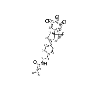 O=C(NCCc1ccc(N2CCC(c3cc(Cl)c(Cl)c(Cl)c3)(C(F)(F)F)C2)cc1)C1CC1